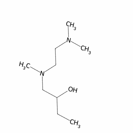 CCC(O)CN(C)CCN(C)C